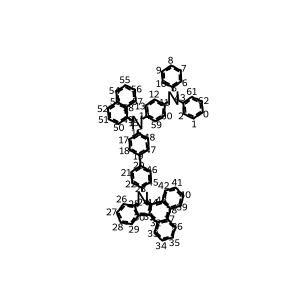 c1ccc(N(c2ccccc2)c2ccc(N(c3ccc(-c4ccc(-n5c6ccccc6c6c7ccccc7c7ccccc7c65)cc4)cc3)c3cccc4ccccc34)cc2)cc1